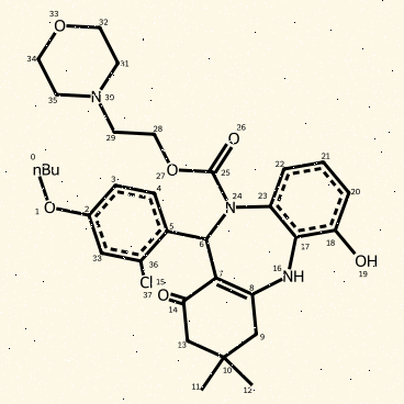 CCCCOc1ccc(C2C3=C(CC(C)(C)CC3=O)Nc3c(O)cccc3N2C(=O)OCCN2CCOCC2)c(Cl)c1